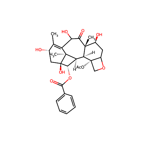 CC(=O)O[C@@]12COC1C[C@H](O)[C@@]1(C)C(=O)C(O)C3=C(C)[C@@H](O)C[C@@]4(O)[C@@H](OC(=O)c5ccccc5)[C@H]([C@@H]12)[C@]34C